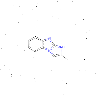 Cc1cn2c(nc3ccccc32)[nH]1